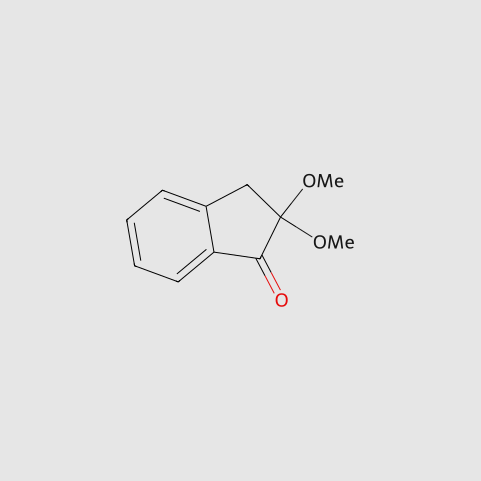 COC1(OC)Cc2ccccc2C1=O